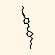 CCCC#Cc1ccc(CCC2CCC(CCCCC)CC2)cc1